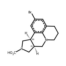 O=C(O)N1C[C@@H]2CN3CCCc4cc(Br)cc(c43)[C@@H]2C1